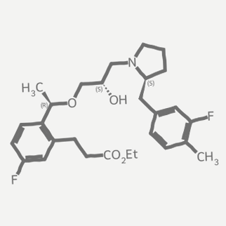 CCOC(=O)CCc1cc(F)ccc1[C@@H](C)OC[C@@H](O)CN1CCC[C@H]1Cc1ccc(C)c(F)c1